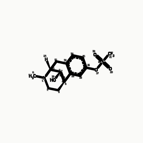 CN1CC[C@]23CCCC[C@@]2(O)[C@H]1Cc1ccc(OS(=O)(=O)C(F)(F)F)cc13